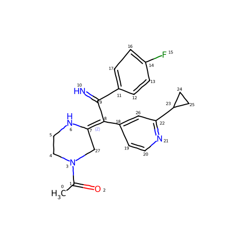 CC(=O)N1CCN/C(=C(\C(=N)c2ccc(F)cc2)c2ccnc(C3CC3)c2)C1